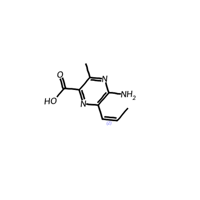 C/C=C\c1nc(C(=O)O)c(C)nc1N